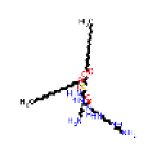 CCCCCCCCCCCCCCCC(=O)OCC(CSC[C@H](N)C(=O)N[C@@H](CCCCN)C(=O)NCCCNCCCCNCCCN)OC(=O)CCCCCCCCCCCCCCC